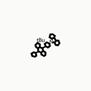 CC(C)(C)c1ccc2c(-c3ccccc3)c3ccccc3c(-c3ccc(-n4c5ccccc5c5ccccc54)cc3)c2c1